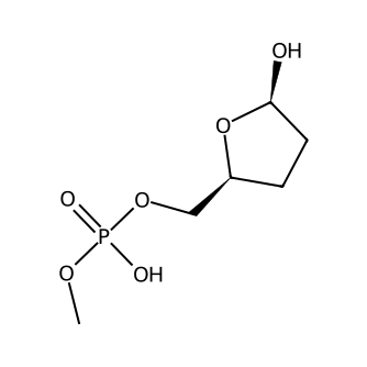 COP(=O)(O)OC[C@@H]1CC[C@H](O)O1